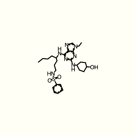 CCCCC(CCCNS(=O)(=O)c1ccccc1)Nc1nc(NC2CCC(O)CC2)nc2c1ncn2CC